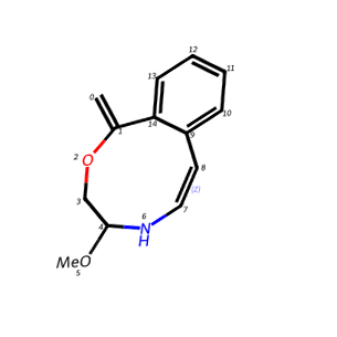 C=C1OCC(OC)N/C=C\c2ccccc21